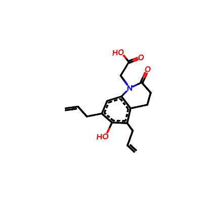 C=CCc1cc2c(c(CC=C)c1O)CCC(=O)N2CC(=O)O